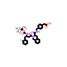 CC(C)(C)OC(=O)NC(CC(=O)N1Cc2ccccc2CC1C(=O)NCc1ccc(CC(=O)O)cc1)Cc1ccccc1F